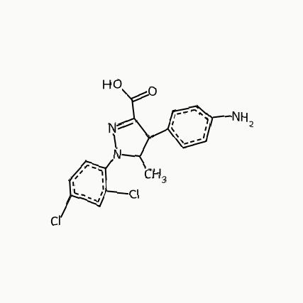 CC1C(c2ccc(N)cc2)C(C(=O)O)=NN1c1ccc(Cl)cc1Cl